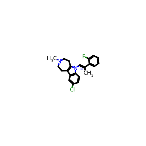 C/C(=C\n1c2c(c3cc(Cl)ccc31)CCN(C)CC2)c1ccccc1F